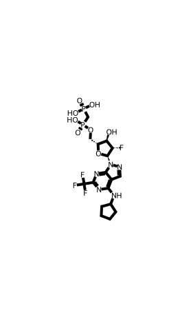 O=P(O)(O)CP(=O)(O)OC[C@H]1O[C@@H](n2ncc3c(NC4CCCC4)nc(C(F)(F)F)nc32)[C@@H](F)[C@@H]1O